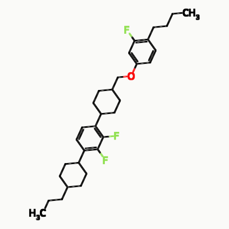 CCCCc1ccc(OCC2CCC(c3ccc(C4CCC(CCC)CC4)c(F)c3F)CC2)cc1F